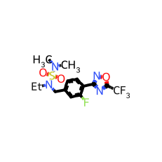 CCN(Cc1ccc(-c2noc(C(F)(F)F)n2)c(F)c1)S(=O)(=O)N(C)C